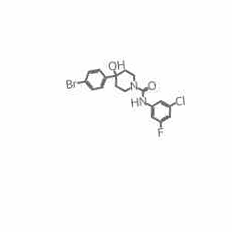 O=C(Nc1cc(F)cc(Cl)c1)N1CCC(O)(c2ccc(Br)cc2)CC1